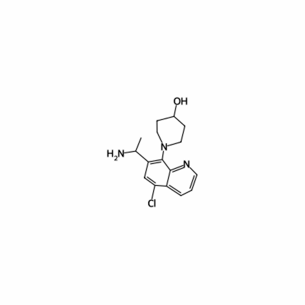 CC(N)c1cc(Cl)c2cccnc2c1N1CCC(O)CC1